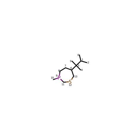 CC(C)C(C)(C)C1CCP(C)CSC1